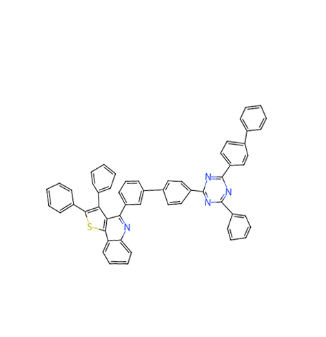 c1ccc(-c2ccc(-c3nc(-c4ccccc4)nc(-c4ccc(-c5cccc(-c6nc7ccccc7c7sc(-c8ccccc8)c(-c8ccccc8)c67)c5)cc4)n3)cc2)cc1